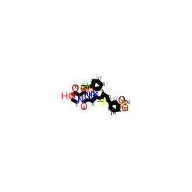 CCN(C(=O)c1cc(-c2ccc(-c3cccc(S(C)(=O)=O)c3)s2)n(-c2ccccc2Cl)n1)C(CO)C(=O)O